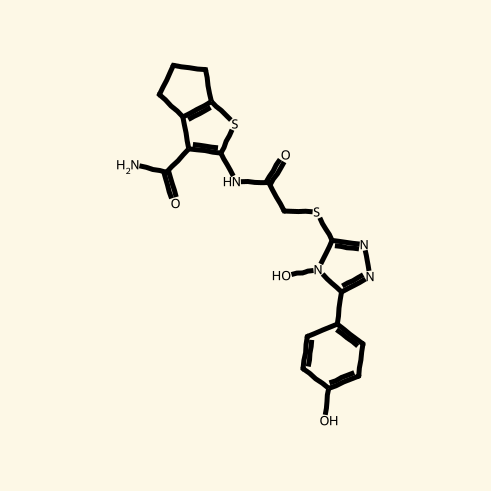 NC(=O)c1c(NC(=O)CSc2nnc(-c3ccc(O)cc3)n2O)sc2c1CCC2